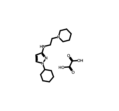 O=C(O)C(=O)O.c1cn(C2CCCCC2)nc1NCCN1CCCCC1